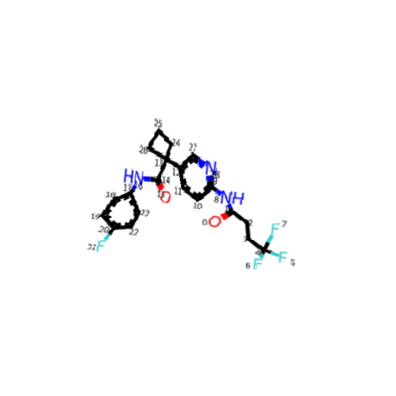 O=C(CCC(F)(F)F)Nc1ccc(C2(C(=O)Nc3ccc(F)cc3)CCC2)cn1